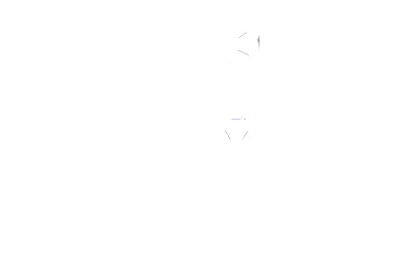 CCCCCCCCCCCCCCCCOS(=O)(=O)c1ccc(C)cc1.c1ccncc1